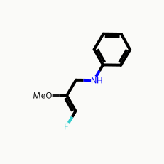 COC(=CF)CNc1ccccc1